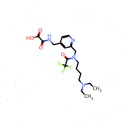 CCN(CC)CCCCN(Cc1cc(CNC(=O)C(=O)O)ccn1)C(=O)C(F)(F)F